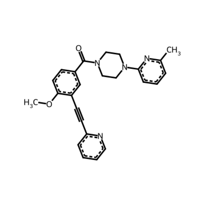 COc1ccc(C(=O)N2CCN(c3cccc(C)n3)CC2)cc1C#Cc1ccccn1